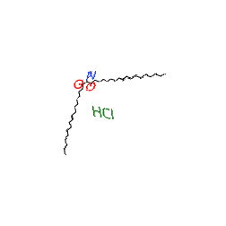 CCCCCCCCC=CCCCCCCCC(=O)C(CN(C)C)C(=O)CCCCCCCC=CCCCCCCCC.Cl